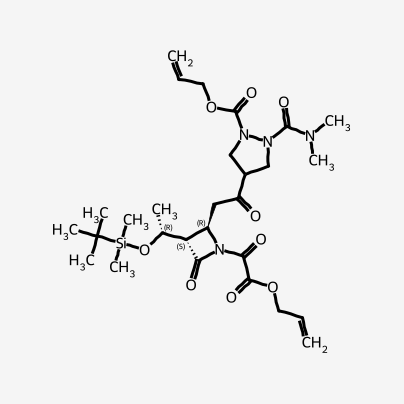 C=CCOC(=O)C(=O)N1C(=O)[C@H]([C@@H](C)O[Si](C)(C)C(C)(C)C)[C@H]1CC(=O)C1CN(C(=O)OCC=C)N(C(=O)N(C)C)C1